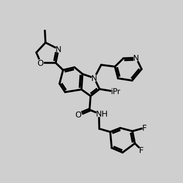 CC1COC(c2ccc3c(C(=O)NCc4ccc(F)c(F)c4)c(C(C)C)n(Cc4cccnc4)c3c2)=N1